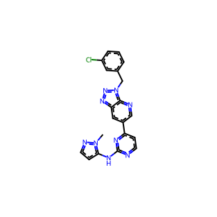 Cn1nccc1Nc1nccc(-c2cnc3c(c2)nnn3Cc2cccc(Cl)c2)n1